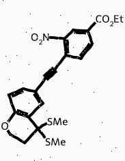 CCOC(=O)c1ccc(C#Cc2ccc3c(c2)C(SC)(SC)CCO3)c([N+](=O)[O-])c1